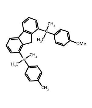 COc1ccc([Si](C)(C)c2cccc3c2Cc2c-3cccc2[Si](C)(C)c2ccc(C)cc2)cc1